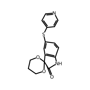 O=C1Nc2ccc(Sc3ccncc3)cc2C12OCCCO2